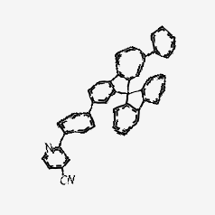 N#Cc1ccnc(-c2ccc(-c3ccc4c(c3)C3(c5ccccc5-c5ccccc53)c3cc(-c5ccccc5)ccc3-4)cc2)c1